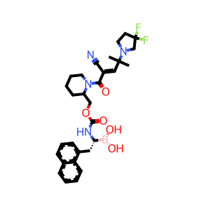 CC(C)(C=C(C#N)C(=O)N1CCCCC1COC(=O)N[C@@H](Cc1cccc2ccccc12)B(O)O)N1CCC(F)(F)C1